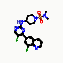 CN(C)S(=O)(=O)N1CCC(Nc2ncc(F)c(-c3cc(F)c4ncccc4c3)n2)CC1